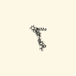 CN[C@H](Cc1ccccc1)C(=O)N1CCN(CCCOc2ccc(C(=O)C3CC3)cc2)CC1